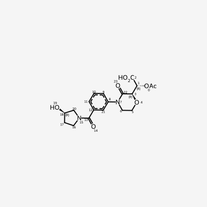 CC(=O)O[C@@H](C(=O)O)[C@H]1OCCN(c2cccc(C(=O)N3CC[C@@H](O)C3)c2)C1=O